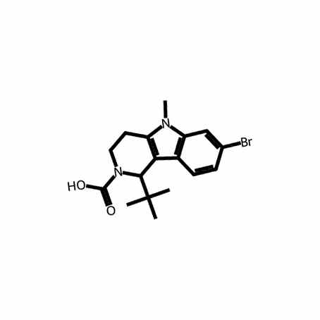 Cn1c2c(c3ccc(Br)cc31)C(C(C)(C)C)N(C(=O)O)CC2